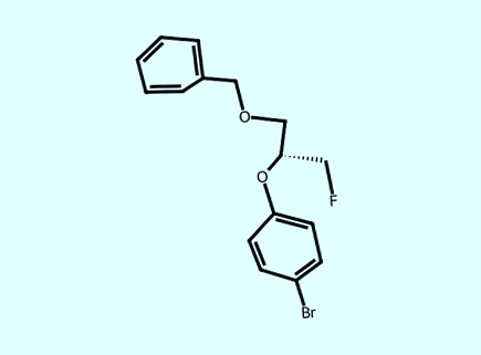 FC[C@@H](COCc1ccccc1)Oc1ccc(Br)cc1